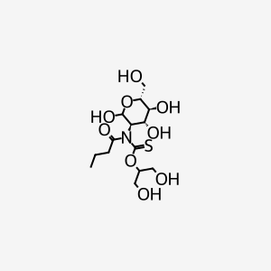 CCCC(=O)N(C(=S)OC(CO)CO)[C@H]1C(O)O[C@H](CO)[C@@H](O)[C@@H]1O